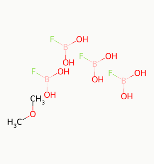 COC.OB(O)F.OB(O)F.OB(O)F.OB(O)F